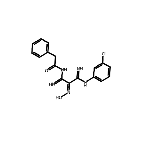 N=C(NC(=O)Cc1ccccc1)/C(=N\O)C(=N)Nc1cccc(Cl)c1